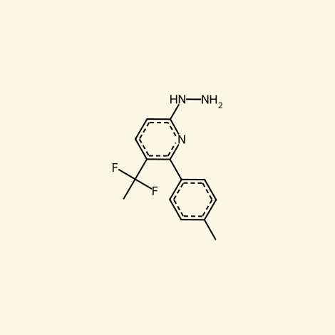 Cc1ccc(-c2nc(NN)ccc2C(C)(F)F)cc1